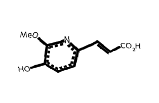 COc1nc(/C=C/C(=O)O)ccc1O